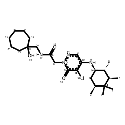 C[C@@H]1[C@@H](C)C(C)(C)[C@@H](C)C[C@H]1Nc1cnn(CC(=O)NCC2(O)CCCCCC2)c(=O)c1Cl